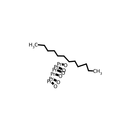 CCCCCCCCCCCC.[O]=[Pr].[O]=[Pr].[O]=[Pr].[O]=[Pr].[O]=[Pr].[O]=[Pr]